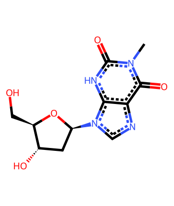 Cn1c(=O)[nH]c2c(ncn2[C@H]2C[C@H](O)[C@@H](CO)O2)c1=O